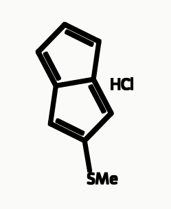 CSC1=CC2=CC=CC2=C1.Cl